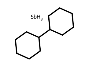 C1CCC(C2CCCCC2)CC1.[SbH3]